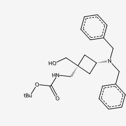 CC(C)(C)OC(=O)NC[C@]1(CO)C[C@H](N(Cc2ccccc2)Cc2ccccc2)C1